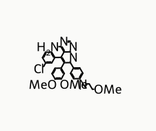 COCCN(C)c1ccc(-c2nc3ncnc(N)c3c(-c3cccc(Cl)c3)c2-c2ccc(OC)c(OC)c2)cc1